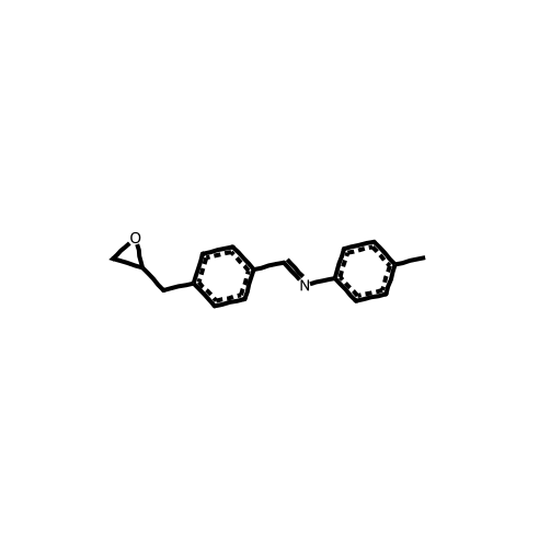 Cc1ccc(N=Cc2ccc(CC3CO3)cc2)cc1